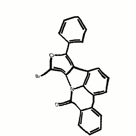 O=c1c2ccccc2c2cccc3c4c(-c5ccccc5)oc(Br)c4n1c23